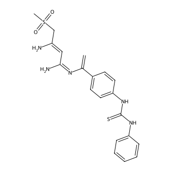 C=C(/N=C(N)\C=C(/N)CS(C)(=O)=O)c1ccc(NC(=S)Nc2ccccc2)cc1